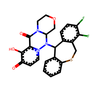 O=C1c2c(O)c(=O)ccn2N(C2c3ccccc3SCc3c2ccc(F)c3F)C2COCCN12